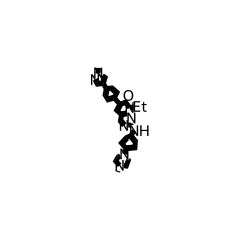 CCn1c(=O)c(-c2ccc(-c3cnn(C)c3)cc2)cc2cnc(Nc3ccc(N4CCN(C)CC4)cc3)nc21